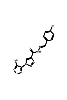 Nc1nonc1-n1cc(C(=O)N/N=C/c2ccc(Br)cc2)nn1